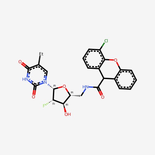 CCc1cn([C@@H]2O[C@H](CNC(=O)C3c4ccccc4Oc4c(Cl)cccc43)[C@@H](O)[C@@H]2F)c(=O)[nH]c1=O